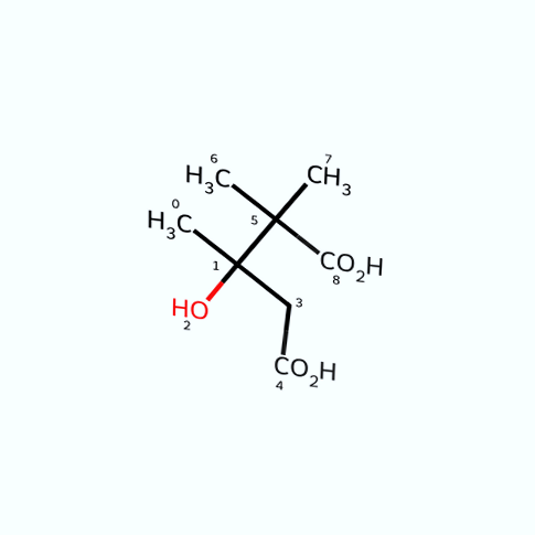 CC(O)(CC(=O)O)C(C)(C)C(=O)O